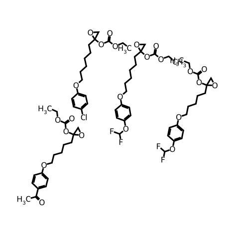 CCOC(=O)OC1(CCCCCCOc2ccc(Cl)cc2)CO1.CCOC(=O)OC1(CCCCCCOc2ccc(OC(F)F)cc2)CO1.CCOC(=O)OC1(CCCCCOc2ccc(C(C)=O)cc2)CO1.CCOC(=O)OC1(CCCCCOc2ccc(OC(F)F)cc2)CO1